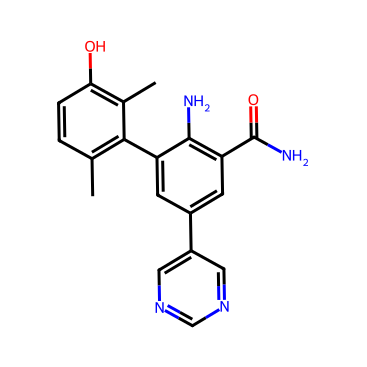 Cc1ccc(O)c(C)c1-c1cc(-c2cncnc2)cc(C(N)=O)c1N